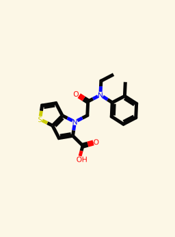 CCN(C(=O)Cn1c(C(=O)O)cc2sccc21)c1ccccc1C